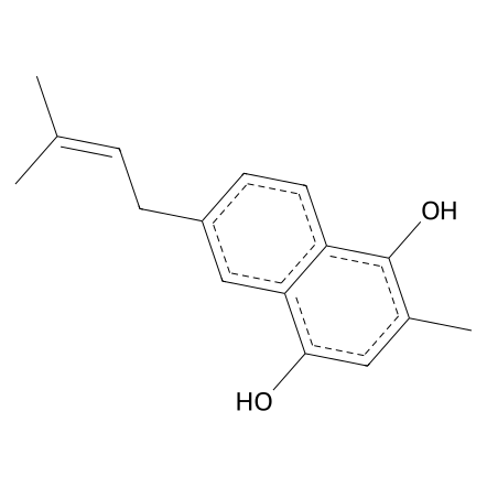 CC(C)=CCc1ccc2c(O)c(C)cc(O)c2c1